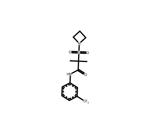 CC(C)(C(=O)Nc1cccc(C(F)(F)F)c1)S(=O)(=O)N1CCC1